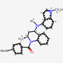 COc1ccc(C(=O)N2c3ccccc3[C@H](N(C(C)=O)c3cccc4c3ccn4C(=O)O)C[C@@H]2C)cc1